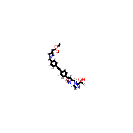 CCOC(=O)CC1CN(Cc2ccc(C#Cc3ccc(-c4cc(Cn5ccnc5C(C)O)no4)cc3)cc2)C1